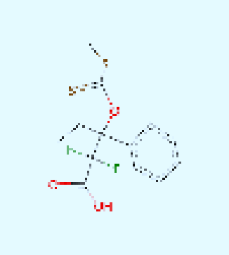 CCC(OC(=S)SC)(c1ccccc1)C(F)(F)C(=O)O